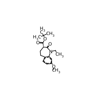 CCN1C(=O)[C@H](C(=O)OC(C)(C)C)CCc2ccc(OC)cc21